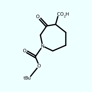 CC(C)(C)OC(=O)N1CCCC(C(=O)O)C(=O)C1